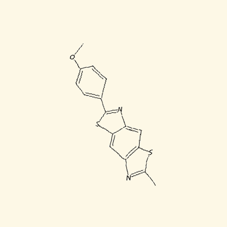 COc1ccc(-c2nc3cc4sc(C)nc4cc3s2)cc1